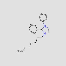 CCCCCCCCCCCCCCCCN1C=CN(c2ccccc2)C1c1ccccc1